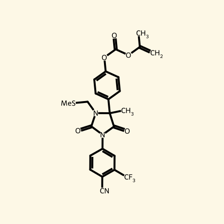 C=C(C)OC(=O)Oc1ccc(C2(C)C(=O)N(c3ccc(C#N)c(C(F)(F)F)c3)C(=O)N2CSC)cc1